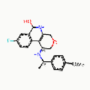 COc1ccc([C@@H](C)N[C@@H]2COCC3=C2c2ccc(F)cc2C(O)N3)cc1